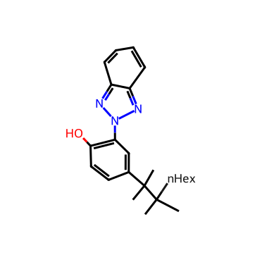 CCCCCCC(C)(C)C(C)(C)c1ccc(O)c(-n2nc3ccccc3n2)c1